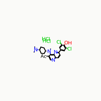 CC(=O)c1cnc2ccc(-c3cc(Cl)c(O)c(Cl)c3)nc2c1N(C)[C@H]1CC[C@H](N(C)C)CC1.Cl.Cl